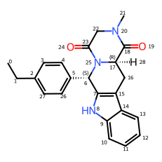 CCc1ccc([C@H]2c3[nH]c4ccccc4c3C[C@@H]3C(=O)N(C)CC(=O)N23)cc1